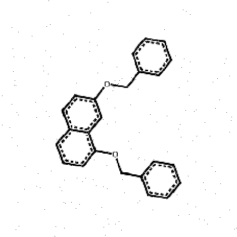 c1ccc(COc2ccc3cccc(OCc4ccccc4)c3c2)cc1